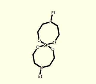 CCN1CC[O][Sn]2([O]CC1)[O]CCN(CC)CC[O]2